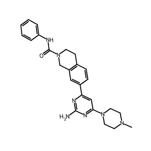 CN1CCN(c2cc(-c3ccc4c(c3)CN(C(=O)Nc3ccccc3)CC4)nc(N)n2)CC1